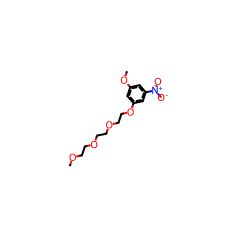 COCCOCCOCCOc1cc(OC)cc([N+](=O)[O-])c1